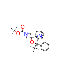 CC(C)(C)OC(=O)N1CC(C#N)(O[Si](c2ccccc2)(c2ccccc2)C(C)(C)C)C1